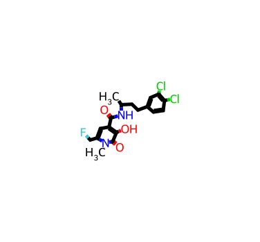 CC(CCc1ccc(Cl)c(Cl)c1)NC(=O)c1cc(CF)n(C)c(=O)c1O